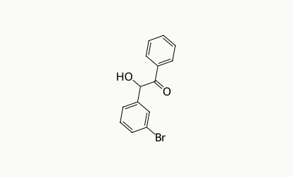 O=C(c1ccccc1)C(O)c1cccc(Br)c1